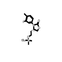 Cc1ccc(N2C(=O)OC[C@@H]2CCO[Si](C)(C)C(C)(C)C)cc1F